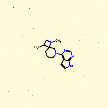 CC1CN(C)C12CCCN(c1ncnc3[nH]ccc13)C2